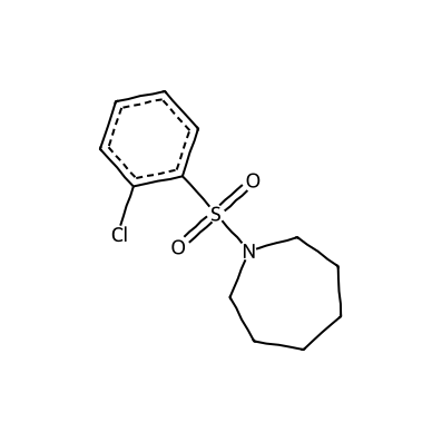 O=S(=O)(c1ccccc1Cl)N1CCCCCC1